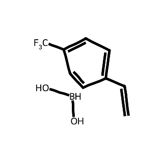 C=Cc1ccc(C(F)(F)F)cc1.OBO